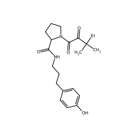 CCC(C)(C)C(=O)C(=O)N1CCCC1C(=O)NCCCc1ccc(O)cc1